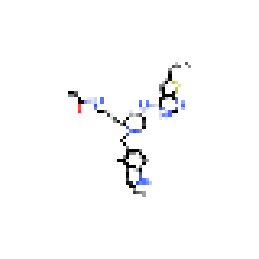 C=CC(=O)NCCCC1CC(Nc2ncnc3sc(CC(F)(F)F)cc23)CCN1Cc1ccc2[nH]c(C#N)cc2c1C